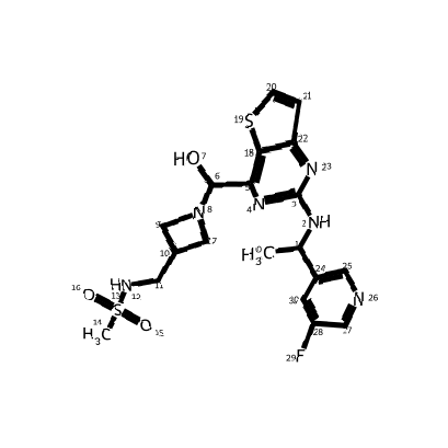 CC(Nc1nc(C(O)N2CC(CNS(C)(=O)=O)C2)c2sccc2n1)c1cncc(F)c1